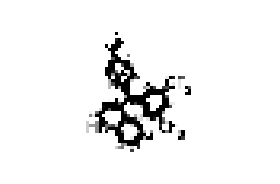 C=CC1CN2CCC1CC2C(C1=CCNc2ccccc21)c1cc(C(F)(F)F)cc(C(F)(F)F)c1